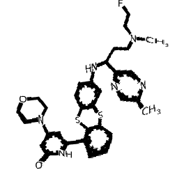 Cc1cnc(C(CCN(C)CCF)Nc2ccc3c(c2)Sc2cccc(-c4cc(N5CCOCC5)cc(=O)[nH]4)c2S3)cn1